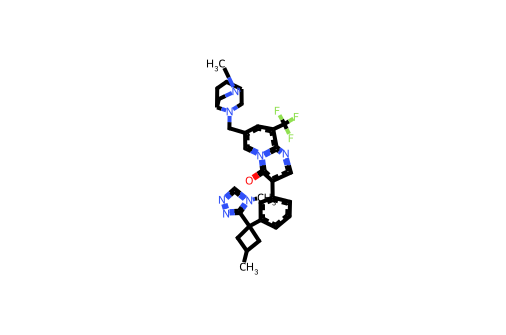 CC1CC(c2cccc(-c3cnc4c(C(F)(F)F)cc(CN5CC6CCC5CN6C)cn4c3=O)c2)(c2nncn2C)C1